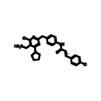 O=C(O)Cc1c(Cl)nc(Cc2ccc(NC(=O)/C=C/c3ccc(Cl)cc3)cc2)nc1N1CCCC1